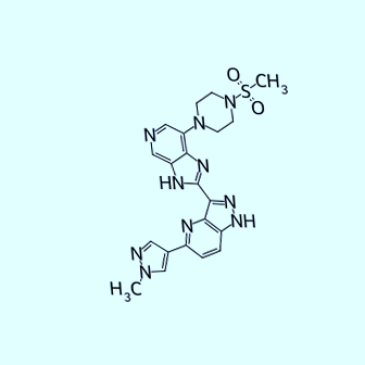 Cn1cc(-c2ccc3[nH]nc(-c4nc5c(N6CCN(S(C)(=O)=O)CC6)cncc5[nH]4)c3n2)cn1